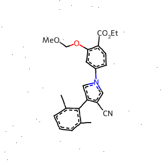 CCOC(=O)c1ccc(-n2cc(C#N)c(-c3c(C)cccc3C)c2)cc1OCOC